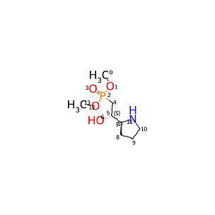 COP(=O)(C[C@@H](O)[C@@H]1CCCN1)OC